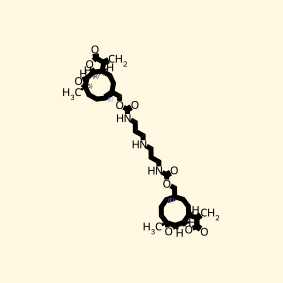 C=C1C(=O)O[C@@H]2[C@@H]1CC/C(COC(=O)NCCCNCCCNC(=O)OC/C1=C/CC[C@@]3(C)O[C@H]3[C@H]3OC(=O)C(=C)[C@@H]3CC1)=C\CC[C@]1(C)O[C@H]21